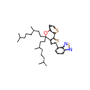 CC(C)CCCC(C)CCC1(CCC(C)CCCC(C)C)Oc2ccsc2-c2sc(-c3cccc4nsnc34)cc21